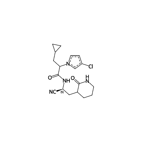 N#C[C@H](CC1CCCNC1=O)NC(=O)C(CC1CC1)n1ccc(Cl)c1